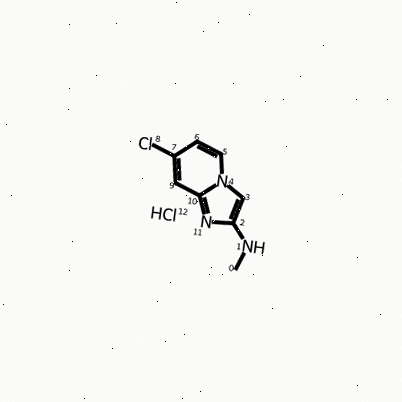 CNc1cn2ccc(Cl)cc2n1.Cl